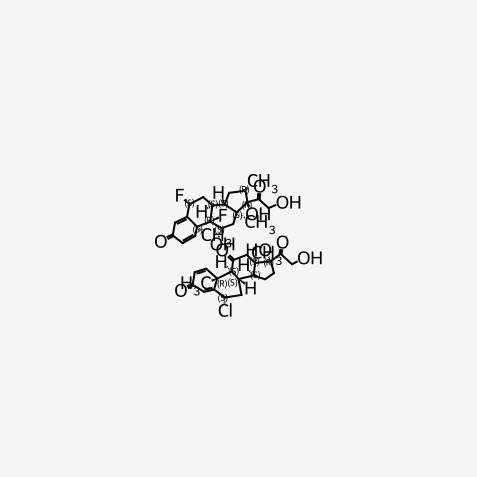 C[C@@H]1C[C@H]2[C@@H]3C[C@H](F)C4=CC(=O)C=C[C@]4(C)[C@@]3(F)[C@@H](O)C[C@]2(C)[C@@]1(O)C(=O)CO.C[C@]12C=CC(=O)C=C1[C@@H](Cl)C[C@@H]1[C@@H]2C(=O)C[C@@]2(C)[C@H]1CC[C@]2(O)C(=O)CO